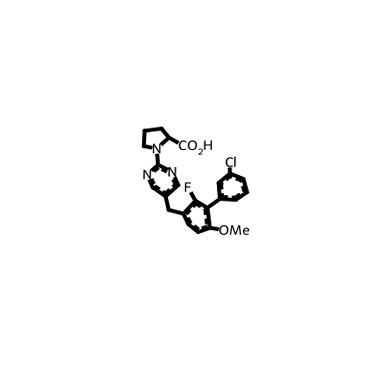 COc1ccc(Cc2cnc(N3CCCC3C(=O)O)nc2)c(F)c1-c1cccc(Cl)c1